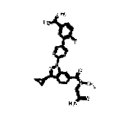 CC(O)c1ccc(F)c(-c2cnc(-n3nc(C4CC4)c4ccc(C(=O)N(C)CC(N)=O)cc43)nc2)c1